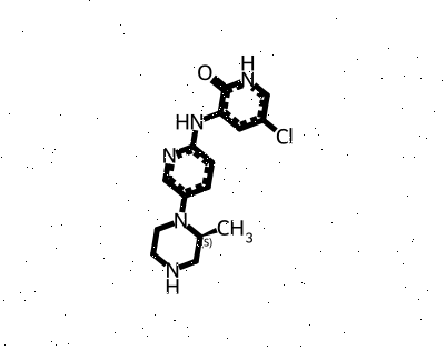 C[C@H]1CNCCN1c1ccc(Nc2cc(Cl)c[nH]c2=O)nc1